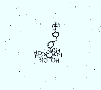 CCOc1ccc(Cc2cccc([C@]3(O)O[C@](C)(CO)[C@@H](O)[C@H](O)[C@H]3O)c2)cc1